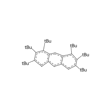 CC(C)(C)c1cc2cc3cc(C(C)(C)C)c(C(C)(C)C)c(C(C)(C)C)c3cc2c(C(C)(C)C)c1C(C)(C)C